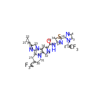 C[C@H](n1ccnc1-c1nc(NC(=O)c2cc(-n3cnc(C4CC4)c3)c(N3CCC(C(F)(F)F)CC3)cn2)cs1)C(F)(F)F